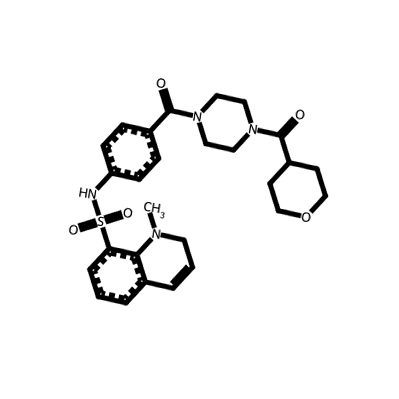 CN1CC=Cc2cccc(S(=O)(=O)Nc3ccc(C(=O)N4CCN(C(=O)C5CCOCC5)CC4)cc3)c21